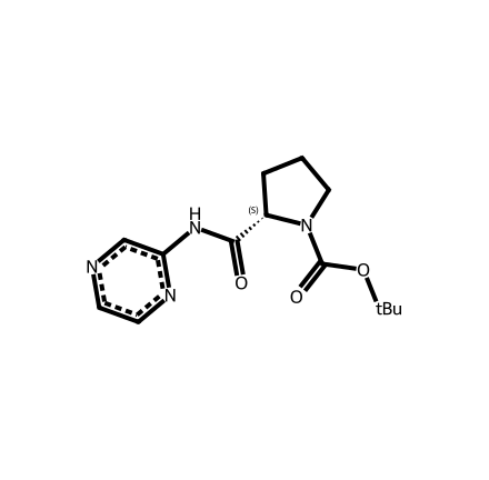 CC(C)(C)OC(=O)N1CCC[C@H]1C(=O)Nc1cnccn1